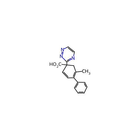 CC1=C(c2ccccc2)C=CC(C(=O)O)(c2nccnn2)C1